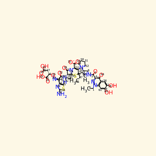 CCn1nc(C(=O)NCC[N+]2(C3=C(C(=O)[O-])N4C(=O)[C@@H](NC(=O)/C(=N\O[C@@H](CC(=O)O)C(=O)O)c5csc(N)n5)[C@@]4(CC)SC3(CC)CC)CCCC2)c(=O)c2cc(O)c(O)cc21